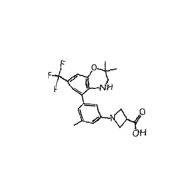 Cc1cc(-c2cc(C(F)(F)F)cc3c2NCC(C)(C)O3)cc(N2CC(C(=O)O)C2)c1